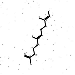 [CH2]/C=C(\C)CC/C=C(\C)CCCC(=C)C